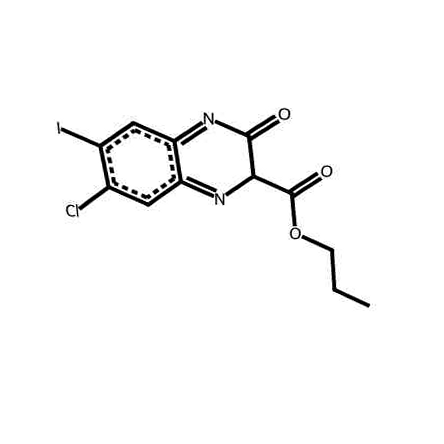 CCCOC(=O)C1N=c2cc(Cl)c(I)cc2=NC1=O